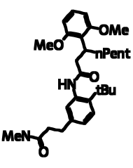 CCCCCC(CC(=O)Nc1cc(CCC(=O)NC)ccc1C(C)(C)C)c1c(OC)cccc1OC